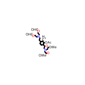 COC(=O)CN(CCc1ccc(CCN(CCOC=O)CCOC=O)c(C)c1OC(C)=O)CC(=O)OC